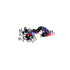 C/C=C(\N/C(CN(C(=O)C[C@@H](C)CC)[C@@H](C)CC)=C(\C)CC)c1ccc2c(c1)COc1cc3c(ccc4nc(CN(CCC)C(=O)[C@H](NC(=O)O)c5ccccc5)[nH]c43)cc1-2